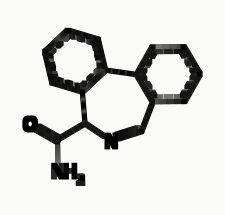 NC(=O)C1N=Cc2ccccc2-c2ccccc21